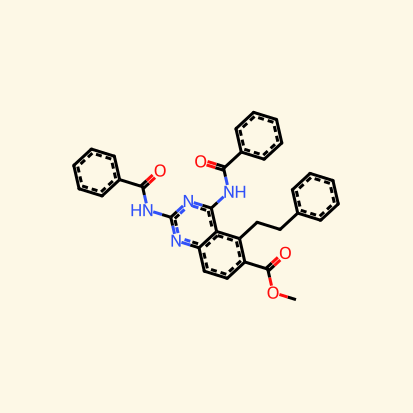 COC(=O)c1ccc2nc(NC(=O)c3ccccc3)nc(NC(=O)c3ccccc3)c2c1CCc1ccccc1